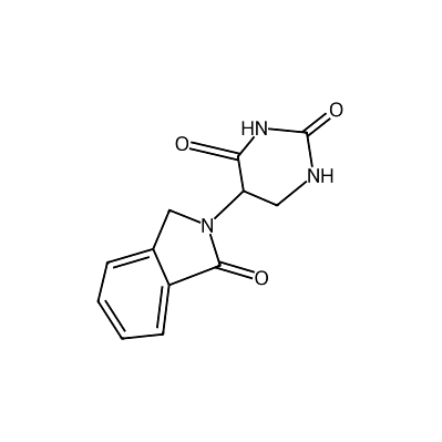 O=C1NCC(N2Cc3ccccc3C2=O)C(=O)N1